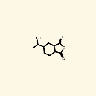 O=C1OC(=O)C2CC(C(O)Cl)CCC12